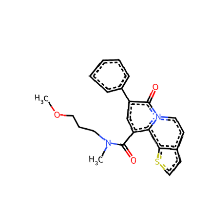 COCCCN(C)C(=O)c1cc(-c2ccccc2)c(=O)n2ccc3ccsc3c12